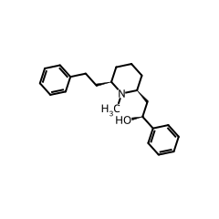 CN1[C@@H](CCc2ccccc2)CCC[C@H]1C[C@H](O)c1ccccc1